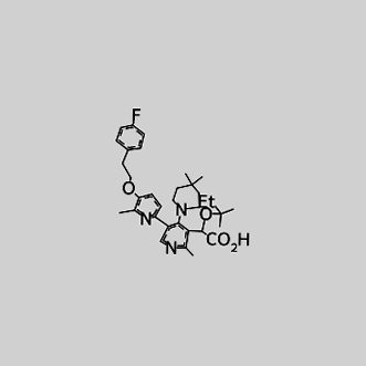 CCC(C)(C)OC(C(=O)O)c1c(C)ncc(-c2ccc(OCCc3ccc(F)cc3)c(C)n2)c1N1CCC(C)(C)CC1